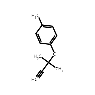 C#CC(C)(C)Oc1ccc(C)cc1